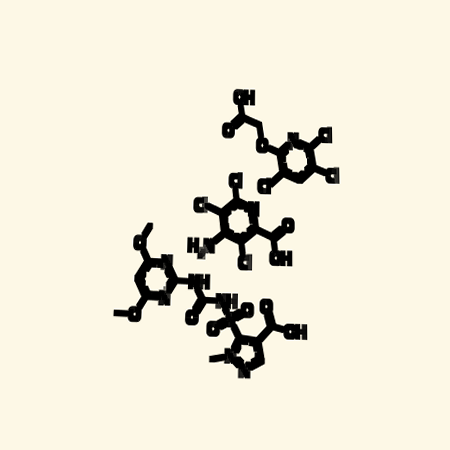 COc1cc(OC)nc(NC(=O)NS(=O)(=O)c2c(C(=O)O)cnn2C)n1.Nc1c(Cl)c(Cl)nc(C(=O)O)c1Cl.O=C(O)COc1nc(Cl)c(Cl)cc1Cl